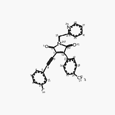 O=C1C(C#Cc2cccc(F)c2)=C(c2ccc(C(F)(F)F)cc2)C(=O)N1Cc1ccccn1